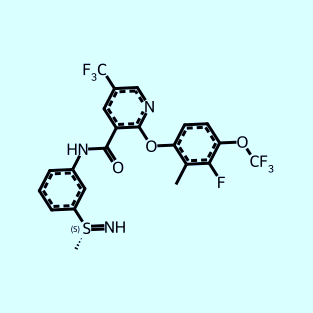 Cc1c(Oc2ncc(C(F)(F)F)cc2C(=O)Nc2cccc([S@@](C)=N)c2)ccc(OC(F)(F)F)c1F